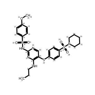 CCCNc1nc(NS(=O)(=O)c2ccc(OC)cc2)ncc1Sc1ccc(S(=O)(=O)N2CCCCC2)cc1